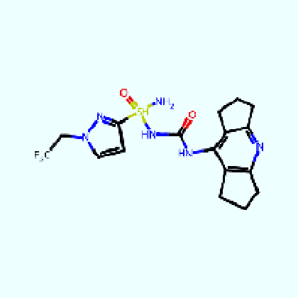 N[SH](=O)(NC(=O)Nc1c2c(nc3c1CCC3)CCC2)c1ccn(CC(F)(F)F)n1